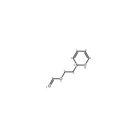 O=COCCN1C=CC=CO1